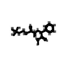 COC(=O)C(CNC(=O)OCCS(C)(C)C)c1ccccc1